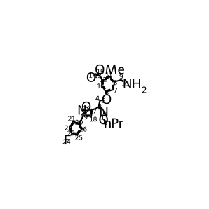 CCCON=C(COc1cc(CN)cc(C(=O)OC)c1)c1cc(-c2ccc(F)cc2)no1